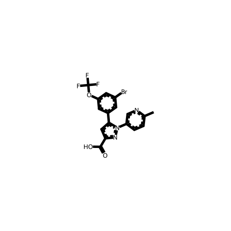 Cc1ccc(-n2nc(C(=O)O)cc2-c2cc(Br)cc(OC(F)(F)F)c2)cn1